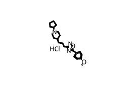 COc1ccc(-c2nc(CCCC3CCN(C4CCCC4)CC3)no2)cc1.Cl